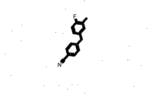 Cc1cc(Cc2ccc(C#N)cc2)ccc1F